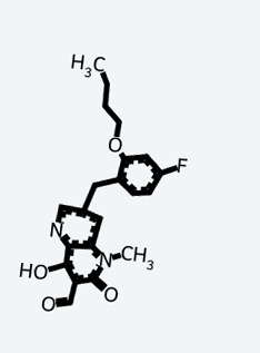 CCCCOc1cc(F)ccc1Cc1cnc2c(O)c(C=O)c(=O)n(C)c2c1